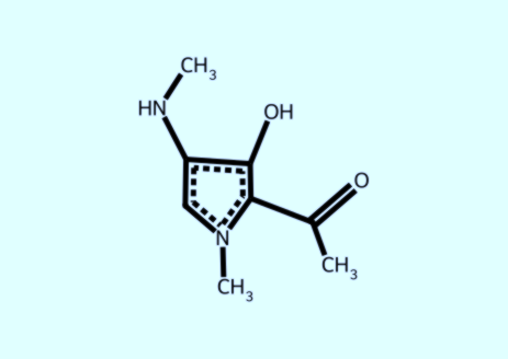 CNc1cn(C)c(C(C)=O)c1O